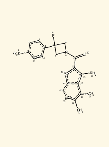 Cc1ccc(C2(F)CN(C(=O)c3sc4nnc(C)c(C)c4c3N)C2)cc1